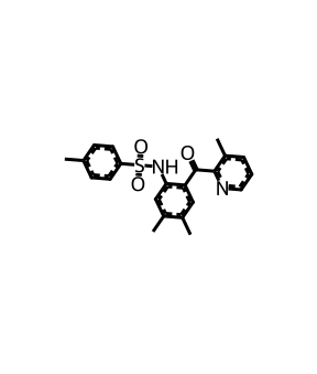 Cc1ccc(S(=O)(=O)Nc2cc(C)c(C)cc2C(=O)c2ncccc2C)cc1